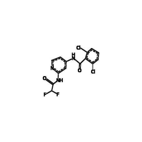 O=C(Nc1ccnc(NC(=O)C(F)F)c1)c1c(Cl)cccc1Cl